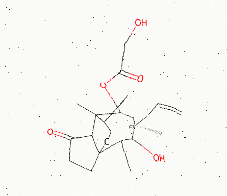 C=C[C@]1(C)CC(OC(=O)CO)C2(C)C(C)CCC3(CCC(=O)C32)C(C)C1O